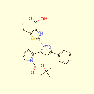 CCc1sc(-n2nc(-c3ccccc3)c(C)c2-c2cccn2C(=O)OC(C)(C)C)nc1C(=O)O